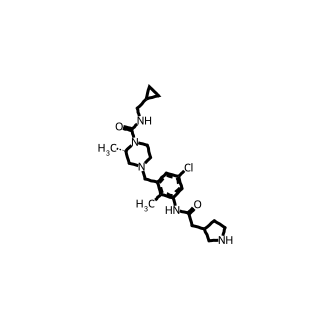 Cc1c(CN2CCN(C(=O)NCC3CC3)[C@@H](C)C2)cc(Cl)cc1NC(=O)CC1CCNC1